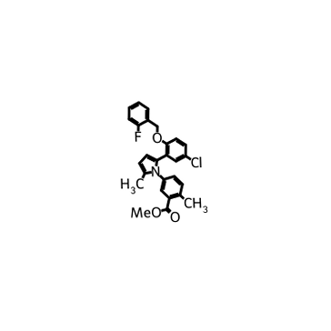 COC(=O)c1cc(-n2c(C)ccc2-c2cc(Cl)ccc2OCc2ccccc2F)ccc1C